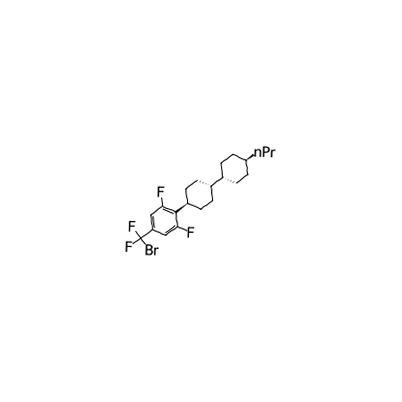 CCC[C@H]1CC[C@H]([C@H]2CC[C@H](c3c(F)cc(C(F)(F)Br)cc3F)CC2)CC1